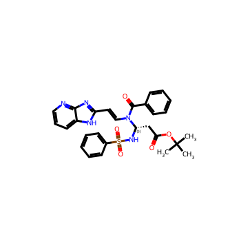 CC(C)(C)OC(=O)C[C@H](NS(=O)(=O)c1ccccc1)N(C=Cc1nc2ncccc2[nH]1)C(=O)c1ccccc1